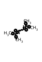 Cc1ccc(N(c2ccc(C)cc2)c2cnc(C=CC=Cc3cnc(N(c4ccc(C)cc4)c4ccc(C)cc4)c4ccccc34)c3ccccc23)cc1